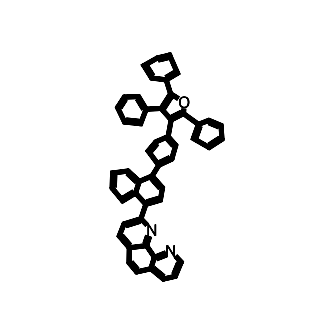 c1ccc(-c2oc(-c3ccccc3)c(-c3ccc(-c4ccc(-c5ccc6ccc7cccnc7c6n5)c5ccccc45)cc3)c2-c2ccccc2)cc1